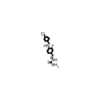 NC(=S)NN=Cc1ccc(NCc2ccc(Cl)cc2)c(F)c1